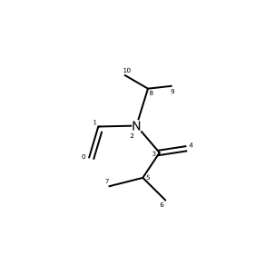 C=CN(C(=C)C(C)C)C(C)C